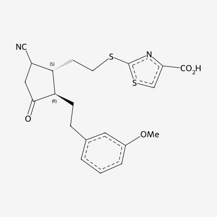 COc1cccc(CC[C@H]2C(=O)CC(C#N)[C@@H]2CCSc2nc(C(=O)O)cs2)c1